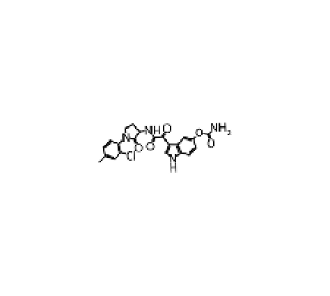 Cc1ccc(N2CCC(NC(=O)C(=O)c3c[nH]c4ccc(OC(N)=O)cc34)C2=O)c(Cl)c1